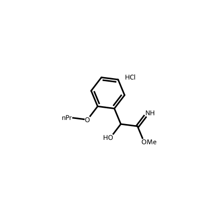 CCCOc1ccccc1C(O)C(=N)OC.Cl